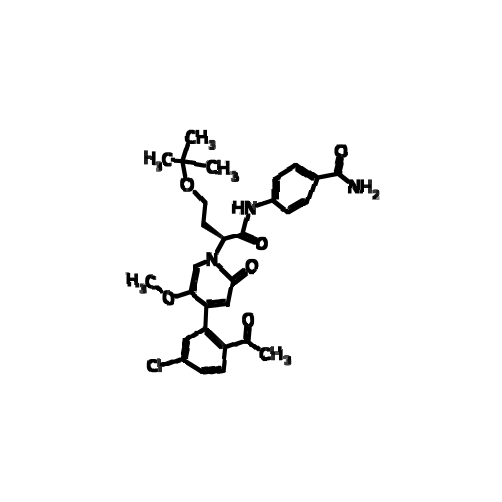 COc1cn([C@@H](CCOC(C)(C)C)C(=O)Nc2ccc(C(N)=O)cc2)c(=O)cc1-c1cc(Cl)ccc1C(C)=O